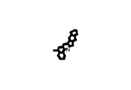 Cc1cc2cc3c(nc2c2ccccc12)Cc1cc2ccccc2cc1-3